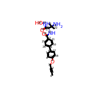 CC#CCOc1ccc(-c2ccc(C(=O)N[C@H](C(=O)NO)C(C)(C)N)cc2)cc1